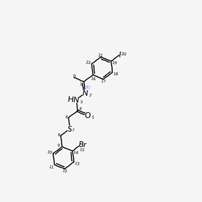 C/C(=N\NC(=O)CSCc1ccccc1Br)c1ccc(I)cc1